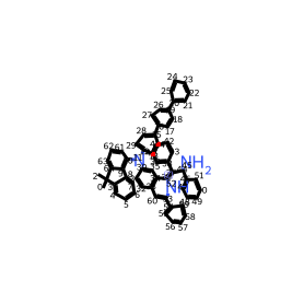 CC1(C)c2ccccc2-c2c(N(c3ccc(-c4ccc(-c5ccccc5)cc4)cc3)c3ccc4c(c3)/C(=C(\c3ccccc3)C(N)c3ccccc3)NC(c3ccccc3)=C4)cccc21